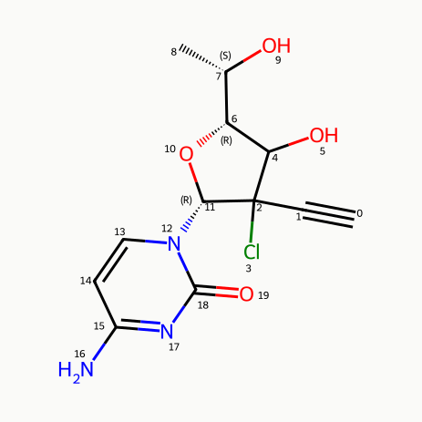 C#CC1(Cl)C(O)[C@@H]([C@H](C)O)O[C@H]1n1ccc(N)nc1=O